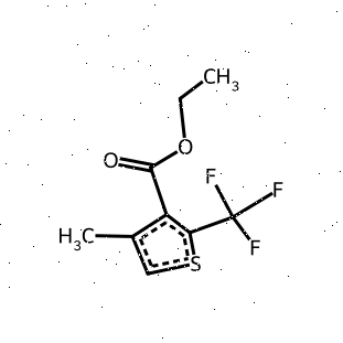 CCOC(=O)c1c(C)csc1C(F)(F)F